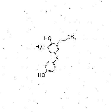 CCCc1cc(Sc2ccc(O)cc2)cc(C)c1O